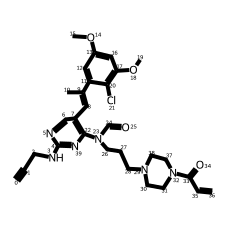 C#CCNc1ncc(/C=C(\C)c2cc(OC)cc(OC)c2Cl)c(N(C=O)CCCN2CCN(C(=O)C=C)CC2)n1